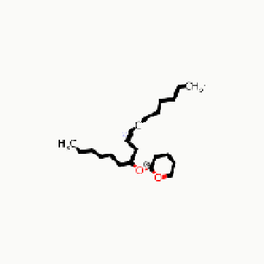 [CH2]CCCCCC/C=C\CC(CCCCCC)O[C@@H]1CCCCO1